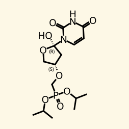 CC(C)OP(=O)(CO[C@@H]1CO[C@@](O)(n2ccc(=O)[nH]c2=O)C1)OC(C)C